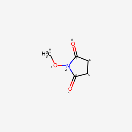 [3CH3]ON1C(=O)CCC1=O